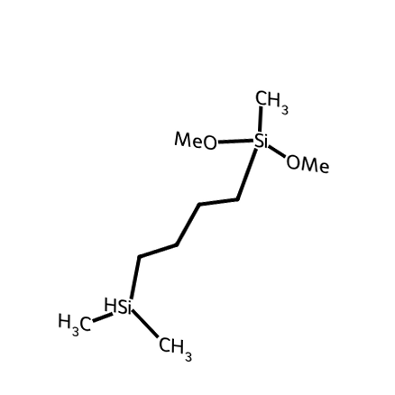 CO[Si](C)(CCCC[SiH](C)C)OC